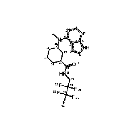 CN(c1ncnc2[nH]ccc12)N1CCC[C@H](C(=O)NCC(F)(F)C(F)(F)F)C1